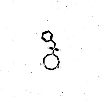 O=S(=O)(Cc1ccccc1)N1CCNCCNCC1